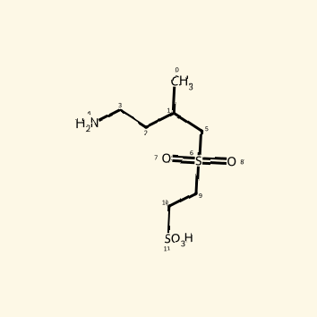 CC(CCN)CS(=O)(=O)CCS(=O)(=O)O